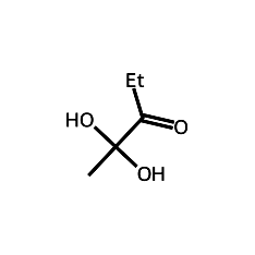 CCC(=O)C(C)(O)O